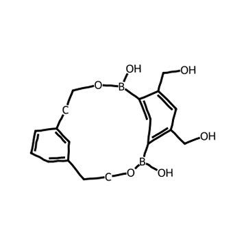 OCc1cc(CO)c2cc1B(O)OCCc1cccc(c1)CCOB2O